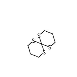 C1CSC2(SC1)SCCCS2